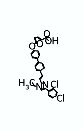 CCn1cc(-c2ccc(Cl)cc2Cl)nc1C=Cc1ccc(-c2ccc(Oc3ccc(C(=O)O)o3)cc2)cc1